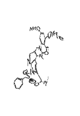 COc1cc(OC)c(F)c(N2Cc3cnc4c(cc(C(=O)N(C)C)n4S(=O)(=O)c4ccccc4)c3N(C)C2=O)c1